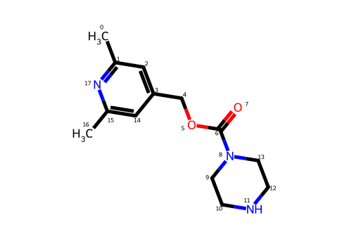 Cc1cc(COC(=O)N2CCNCC2)cc(C)n1